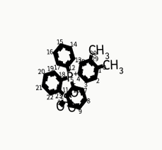 Cc1ccc([P+](c2ccccc2)(c2ccccc2)c2ccccc2S(=O)(=O)[O-])cc1C